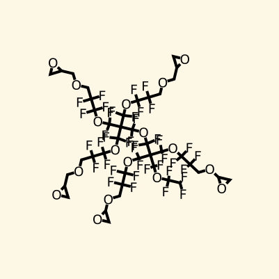 FC(F)C(F)(F)OC(F)(F)C(C(F)(F)OC(F)(F)C(F)(F)COC1CO1)(C(F)(F)OC(F)(F)C(F)(F)COC1CO1)C(F)(F)OC(F)(F)C(C(F)(F)OC(F)(F)C(F)(F)COCC1CO1)(C(F)(F)OC(F)(F)C(F)(F)COCC1CO1)C(F)(F)OC(F)(F)C(F)(F)COCC1CO1